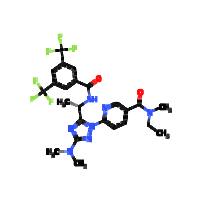 CCN(C)C(=O)c1ccc(-n2nc(N(C)C)nc2[C@H](C)NC(=O)c2cc(C(F)(F)F)cc(C(F)(F)F)c2)nc1